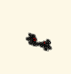 c1ccc(N(c2cccc3ccccc23)c2cc3ccccc3c3c2sc2c(N(c4ccccc4)c4cccc5c(-c6ccc7c(c6)cc(N(c6ccccc6)c6cc8ccccc8c8c6sc6c(N(c9ccccc9)c9cc%10ccccc%10c%10ccccc9%10)cc9ccccc9c68)c6ccccc67)cccc45)cc4ccccc4c23)cc1